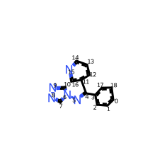 c1ccc(C(=Nn2cnnc2)c2cccnc2)cc1